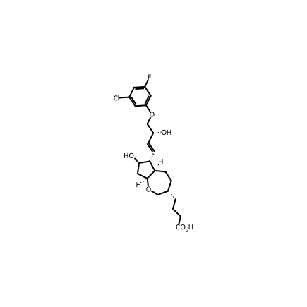 O=C(O)CCC[C@H]1CC[C@@H]2[C@@H](/C=C/[C@@H](O)COc3cc(F)cc(Cl)c3)[C@H](O)C[C@@H]2OC1